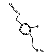 CC(=O)NCCc1ccc(CN=C=O)cc1F